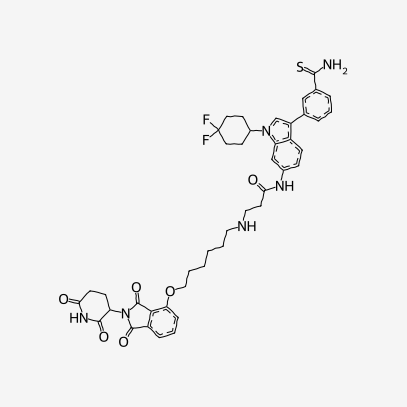 NC(=S)c1cccc(-c2cn(C3CCC(F)(F)CC3)c3cc(NC(=O)CCNCCCCCCOc4cccc5c4C(=O)N(C4CCC(=O)NC4=O)C5=O)ccc23)c1